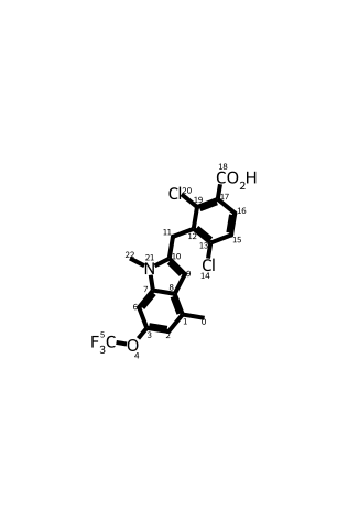 Cc1cc(OC(F)(F)F)cc2c1cc(Cc1c(Cl)ccc(C(=O)O)c1Cl)n2C